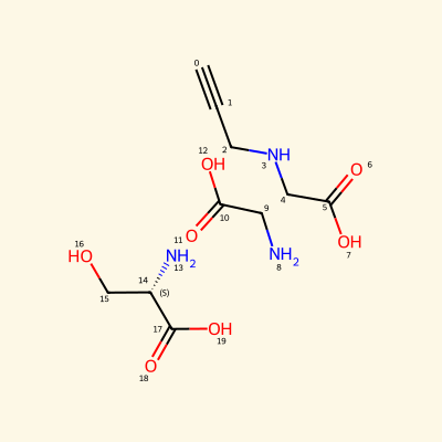 C#CCNCC(=O)O.NCC(=O)O.N[C@@H](CO)C(=O)O